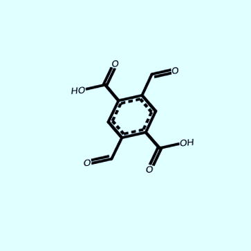 O=Cc1cc(C(=O)O)c(C=O)cc1C(=O)O